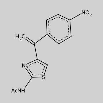 C=C(c1ccc([N+](=O)[O-])cc1)c1csc(NC(C)=O)n1